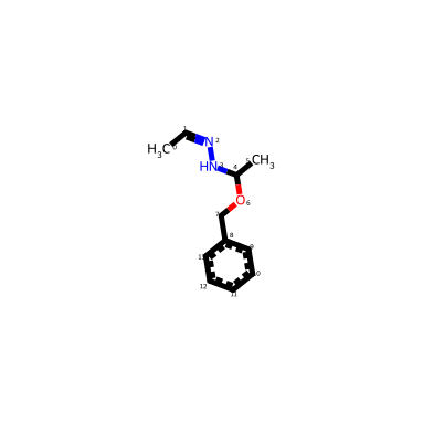 C/C=N\NC(C)OCc1ccccc1